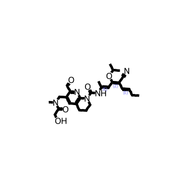 CC/C=C/C(C#N)=C(\C=C(/C)NC(=O)N1CCCc2cc(CN(C)C(=O)CO)c(C=O)nc21)OC(C)C